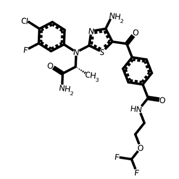 C[C@H](C(N)=O)N(c1ccc(Cl)c(F)c1)c1nc(N)c(C(=O)c2ccc(C(=O)NCCOC(F)F)cc2)s1